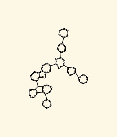 c1ccc(-c2ccc(-c3nc(-c4ccc(-c5ccccc5)cc4)nc(-c4ccc5c(c4)oc4c(C6c7ccccc7-c7c(-c8ccccc8)cccc76)cccc45)n3)cc2)cc1